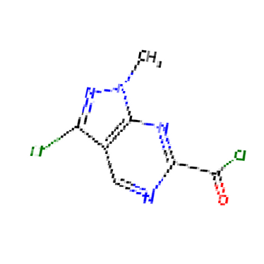 Cn1nc(Cl)c2cnc(C(=O)Cl)nc21